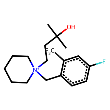 CC(C)(O)CC[N+]1(Cc2ccc(F)cc2C(F)(F)F)CCCCC1